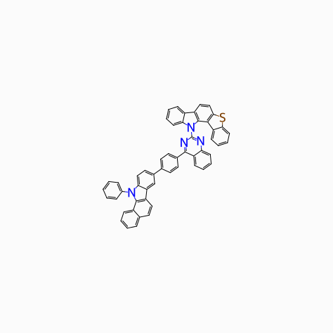 c1ccc(-n2c3ccc(-c4ccc(-c5nc(-n6c7ccccc7c7ccc8sc9ccccc9c8c76)nc6ccccc56)cc4)cc3c3ccc4ccccc4c32)cc1